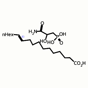 CCCCCC/C=C/CCCCCCCCCC(=O)O.NC(=O)C(O)CP(=O)(O)O